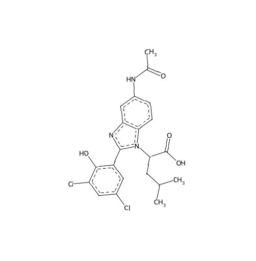 CC(=O)Nc1ccc2c(c1)nc(-c1cc(Cl)cc(Cl)c1O)n2C(CC(C)C)C(=O)O